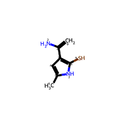 C=C(N)c1cc(C)[nH]c1S